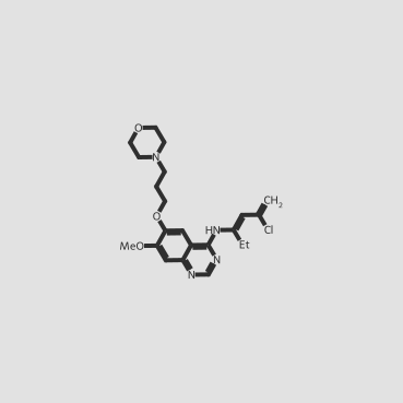 C=C(Cl)/C=C(\CC)Nc1ncnc2cc(OC)c(OCCCN3CCOCC3)cc12